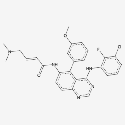 COc1cccc(-c2c(NC(=O)/C=C/CN(C)C)ccc3ncnc(Nc4cccc(Cl)c4F)c23)c1